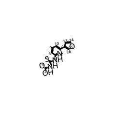 O=C(O)NC(=S)Nc1cccc(-c2ccoc2)n1